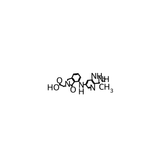 CC(=N)c1ncc(Nc2cccc3c2C(=O)N(CC(=O)O)C3)cc1N